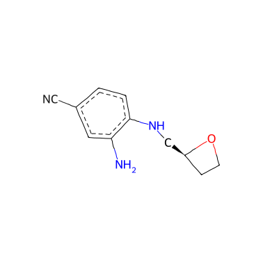 N#Cc1ccc(NC[C@@H]2CCO2)c(N)c1